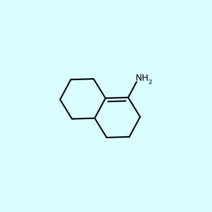 NC1=C2CCCCC2CCC1